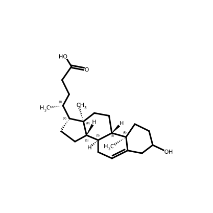 C[C@H](CCC(=O)O)[C@H]1CC[C@H]2[C@@H]3CC=C4CC(O)CC[C@]4(C)[C@H]3CC[C@]12C